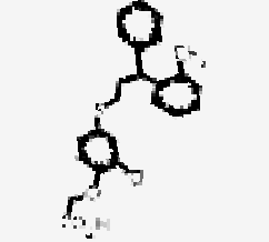 Cc1ccccc1/C(=C\CSc1ccc(OCC(=O)O)c(Cl)c1)c1ccccc1